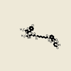 Cc1sc2c(c1C)C(c1ccc(Cl)cc1)=N[C@@H](CC(=O)NCCCCCCC(=O)Nc1cccc3c1C(=O)N(C1CCC(=O)NC1=O)C3=O)c1nnc(C)n1-2